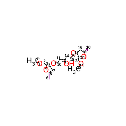 COCC1OC(I)CC1OCCC(O)CCOC1CC(I)OC1COC